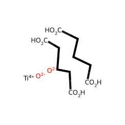 O=C(O)CCCC(=O)O.O=C(O)CCCC(=O)O.[O-2].[O-2].[Ti+4]